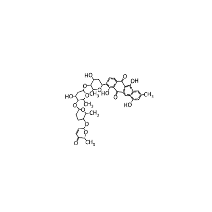 Cc1cc(O)c2cc3c(c(O)c2c1)C(=O)c1ccc(C2CC(O)C(OC4CC(O)C(OC5CCC(OC6C=CC(=O)C(C)O6)C(C)O5)C(C)O4)C(C)O2)c(O)c1C3=O